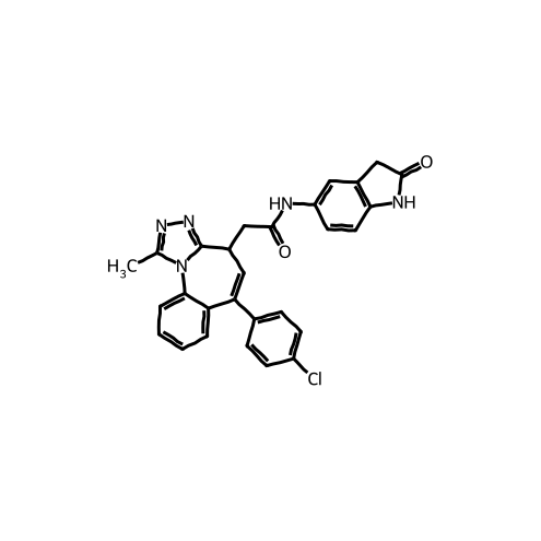 Cc1nnc2n1-c1ccccc1C(c1ccc(Cl)cc1)=CC2CC(=O)Nc1ccc2c(c1)CC(=O)N2